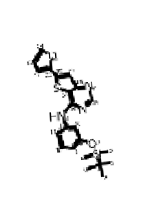 CC(C)(C)[Si](C)(C)Oc1cccc(Nc2ncnc3cc(-c4ccco4)sc23)c1